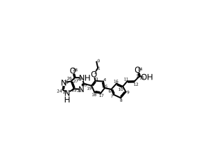 CCOc1cc(-c2cccc(/C=C/C(=O)O)c2)ccc1-c1nc2[nH]cnc2c(=O)[nH]1